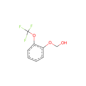 OCOc1ccccc1OC(F)(F)F